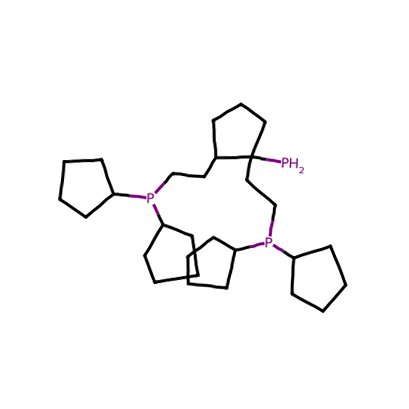 PC1(CCP(C2CCCC2)C2CCCC2)CCCC1CCP(C1CCCC1)C1CCCC1